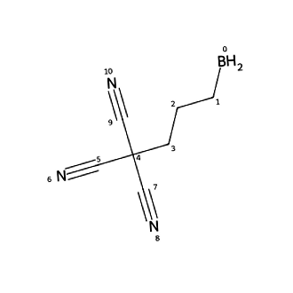 BCCCC(C#N)(C#N)C#N